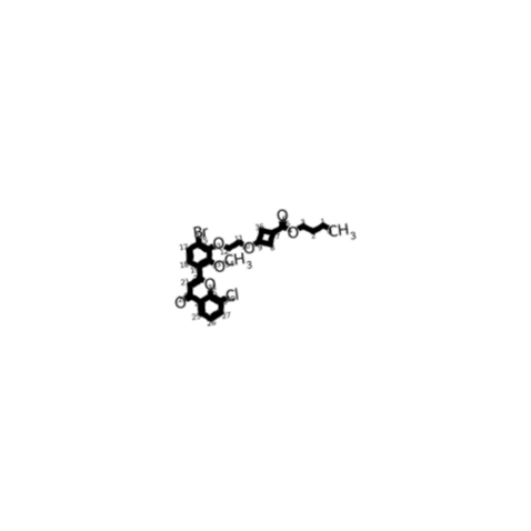 CCCCOC(=O)C1CC(OCCOc2c(Br)ccc(-c3cc(=O)c4cccc(Cl)c4o3)c2OC)C1